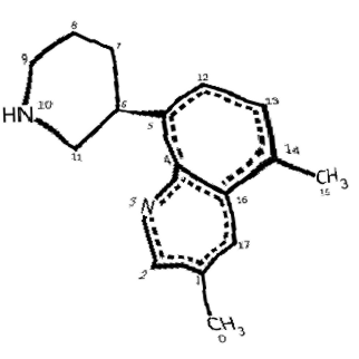 Cc1cnc2c([C@@H]3CCCNC3)ccc(C)c2c1